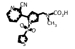 CN(Cc1cc(-c2cccnc2C#N)n(S(=O)(=O)c2ccsc2)c1)C(=O)O